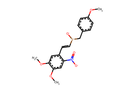 COc1ccc(C[S+]([O-])C=Cc2cc(OC)c(OC)cc2[N+](=O)[O-])cc1